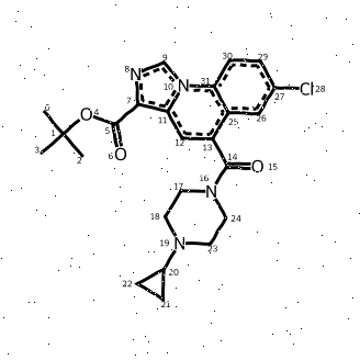 CC(C)(C)OC(=O)c1ncn2c1cc(C(=O)N1CCN(C3CC3)CC1)c1cc(Cl)ccc12